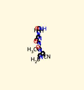 Bc1ccc2c(N3C[C@H](CN4CC5(C4)OCc4cc(N6C[C@H]7NCCO[C@@H]7C6)cnc45)O[C@H](C)C3)ccc(C#N)c2n1